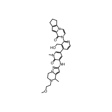 COCCN1CCn2nc(Nc3cc(-c4ccnc(-n5ccn6c7c(cc6c5=O)CCC7)c4CO)cn(C)c3=O)cc2C1C